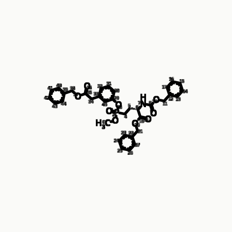 COP(=O)(CC[C@H](NC(=O)OCc1ccccc1)C(=O)OCc1ccccc1)Oc1cccc(CC(=O)OCc2ccccc2)c1